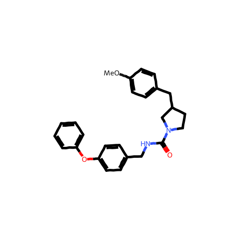 COc1ccc(CC2CCN(C(=O)NCc3ccc(Oc4ccccc4)cc3)C2)cc1